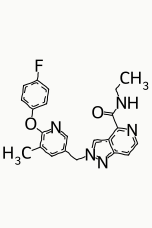 CCNC(=O)c1nccc2nn(Cc3cnc(Oc4ccc(F)cc4)c(C)c3)cc12